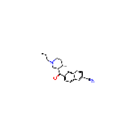 CCCN1CCC(C)C(C(=O)c2ccc3cc(C#N)ccc3c2)C1